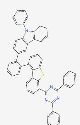 C1=Cc2c(n(-c3ccccc3)c3ccc(-c4ccccc4-c4cccc5sc6c(-c7nc(-c8ccccc8)nc(-c8ccccc8)n7)cccc6c45)cc23)CC1